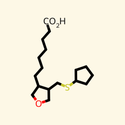 O=C(O)CCCCCCC1COCC1CSC1CCCC1